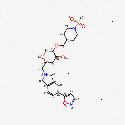 CS(=O)(=O)N1CCC(COc2coc(CN3Cc4ccc(-c5ccno5)cc4C3)cc2=O)CC1